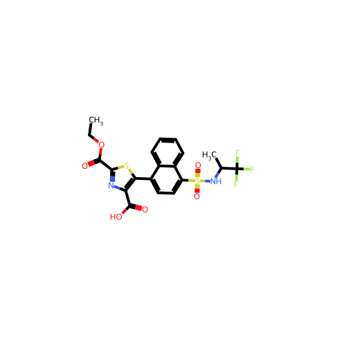 CCOC(=O)c1nc(C(=O)O)c(-c2ccc(S(=O)(=O)NC(C)C(F)(F)F)c3ccccc23)s1